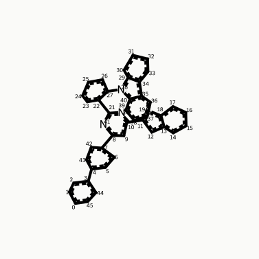 c1ccc(-c2ccc(-c3cc(-c4cc5ccccc5s4)nc(-c4ccccc4-n4c5ccccc5c5ccccc54)n3)cc2)cc1